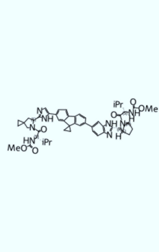 COC(=O)N[C@H](C(=O)N1CC2(CC2)C[C@H]1c1ncc(-c2ccc3c(c2)C2(CC2)c2cc(-c4ccc5nc([C@H]6[C@H]7CC[C@H](C7)N6C(=O)[C@@H](NC(=O)OC)C(C)C)[nH]c5c4)ccc2-3)[nH]1)C(C)C